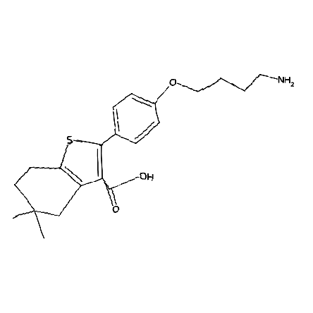 CC1(C)CCc2sc(-c3ccc(OCCCCN)cc3)c(C(=O)O)c2C1